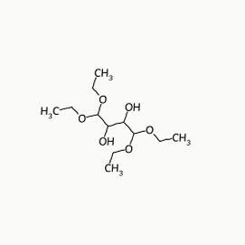 CCOC(OCC)C(O)C(O)C(OCC)OCC